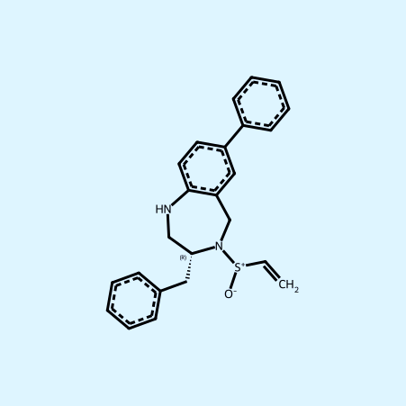 C=C[S+]([O-])N1Cc2cc(-c3ccccc3)ccc2NC[C@H]1Cc1ccccc1